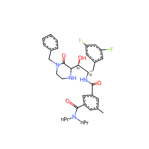 CCCN(CCC)C(=O)c1cc(C)cc(C(=O)N[C@@H](Cc2cc(F)cc(F)c2)[C@H](O)C2NCCN(Cc3ccccc3)C2=O)c1